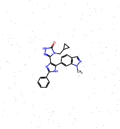 Cn1ncc2ccc(-c3[nH]c(-c4ccccc4)nc3-c3n[nH]c(=O)n3CC3CC3)cc21